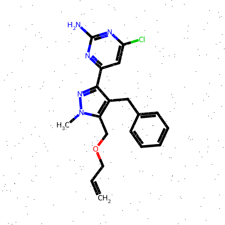 C=CCOCc1c(Cc2ccccc2)c(-c2cc(Cl)nc(N)n2)nn1C